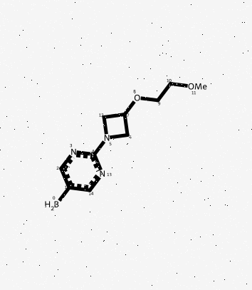 Bc1cnc(N2CC(OCCOC)C2)nc1